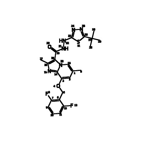 Cc1cc(OCc2c(F)cccc2F)c2nc(C)c(C(=O)NNc3nnc(C(C)(C)C)s3)n2c1